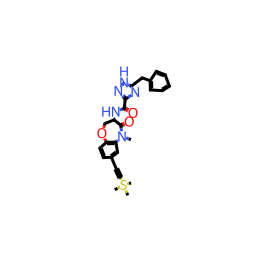 CN1C(=O)[C@@H](NC(=O)c2n[nH]c(Cc3ccccc3)n2)COc2ccc(C#CS(C)(C)C)cc21